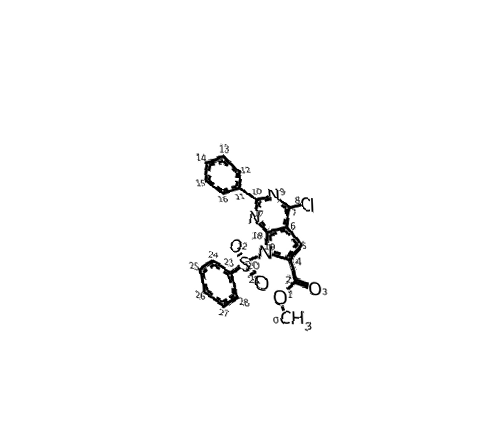 COC(=O)c1cc2c(Cl)nc(-c3ccccc3)nc2n1S(=O)(=O)c1ccccc1